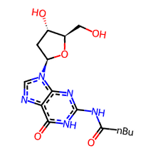 CCCCC(=O)Nc1nc2c(ncn2[C@H]2C[C@H](O)[C@@H](CO)O2)c(=O)[nH]1